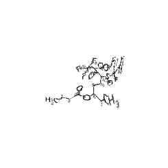 C=CCC(=O)OC(CC)CCC(S(=O)(=O)C(F)(F)F)S(=O)(=O)C(F)(F)F